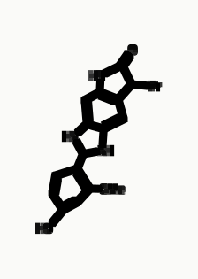 COc1cc(O)ccc1C1Nc2cc3c(cc2N1)C(C(C)C)C(=O)N3